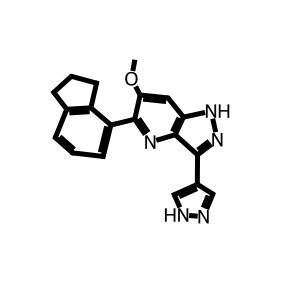 COc1cc2[nH]nc(-c3cn[nH]c3)c2nc1-c1cccc2c1CCC2